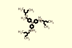 C=CCC(CC=C)CO[SiH2]c1ccc(N(c2ccc([SiH2]OCC(CC=C)CC=C)cc2)c2ccc([SiH2]OCC(CC=C)CC=C)cc2)cc1